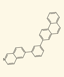 c1cc(-c2ccc3cnccc3c2)cc(-c2ccc3c(ccc4ccccc43)c2)c1